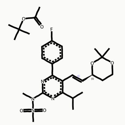 CC(=O)OC(C)(C)C.CC(C)c1nc(N(C)S(C)(=O)=O)nc(-c2ccc(F)cc2)c1/C=C/[C@@H]1CCOC(C)(C)O1